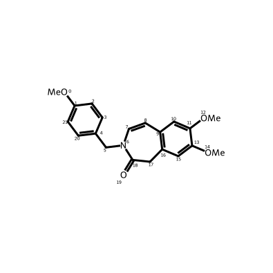 COc1ccc(CN2C=Cc3cc(OC)c(OC)cc3CC2=O)cc1